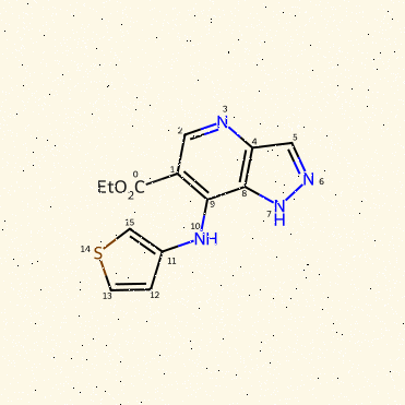 CCOC(=O)c1cnc2cn[nH]c2c1Nc1ccsc1